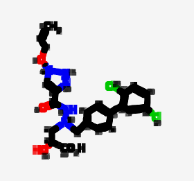 C=CCOn1cc(C(=O)NN(Cc2ccc(-c3cc(Cl)ccc3Cl)cc2)CC(O)C(=O)O)nn1